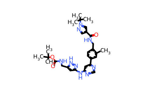 Cc1cc(-c2cc(Nc3cc(CNC(=O)OC(C)(C)C)[nH]n3)ncn2)ccc1CNC(=O)c1cnn(C(C)(C)C)c1